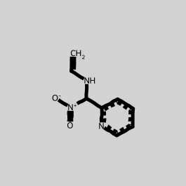 C=CNC(c1ccccn1)[N+](=O)[O-]